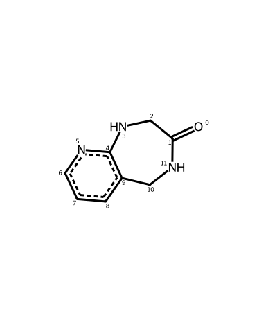 O=C1CNc2ncccc2CN1